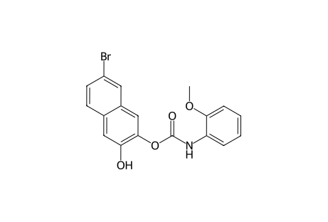 COc1ccccc1NC(=O)Oc1cc2cc(Br)ccc2cc1O